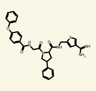 N=C(N)c1csc(CNC(=O)C2CC(c3ccccc3)CN2C(=O)CNC(=O)c2ccc(Oc3ccccc3)cc2)c1